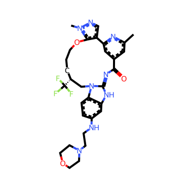 Cc1cc2cc(n1)-c1cnn(C)c1OCCC[C@@H](C(F)(F)F)CN1/C(=N/C2=O)Nc2cc(NCCN3CCOCC3)ccc21